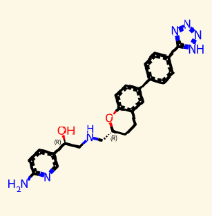 Nc1ccc([C@@H](O)CNC[C@H]2CCc3cc(-c4ccc(-c5nnn[nH]5)cc4)ccc3O2)cn1